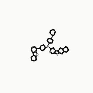 c1ccc(-c2ccc(N(c3ccc(-c4cccc5c4oc4ccccc45)cc3)c3cc4c(cn3)sc3cc5ccccc5cc34)cc2)cc1